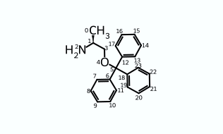 C[C@H](N)COC(c1ccccc1)(c1ccccc1)c1ccccc1